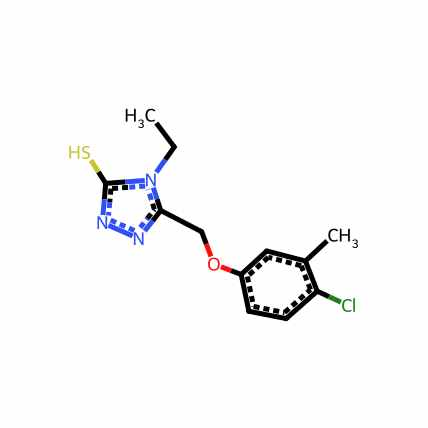 CCn1c(S)nnc1COc1ccc(Cl)c(C)c1